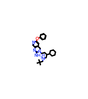 CC(C)(C)CNCC(CCN1Cc2cc(Oc3ccccc3)ncc2N=C1N)C1CCCCC1